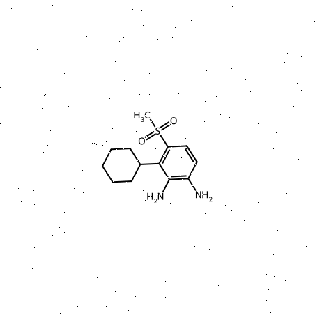 CS(=O)(=O)c1ccc(N)c(N)c1C1CCCCC1